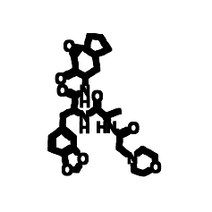 CC(NC(=O)CN1CCOCC1)C(=O)NC(Cc1ccc2c(c1)OCO2)C(=O)NC(CC1CCCC1)C(=O)C1CO1